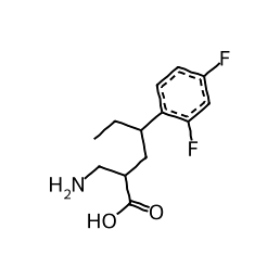 CCC(CC(CN)C(=O)O)c1ccc(F)cc1F